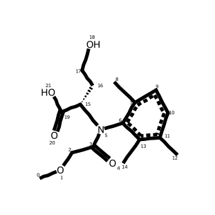 COCC(=O)N(c1c(C)ccc(C)c1C)[C@@H](CCO)C(=O)O